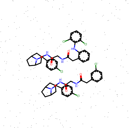 O=C(Cc1cccc(Cl)c1)NCC(=O)NC1CC2CCC(C1)N2Cc1ccc(Cl)cc1.O=C(Cc1ccccc1Nc1c(Cl)cccc1Cl)NCC(=O)NC1CC2CCC(C1)N2Cc1ccc(Cl)cc1